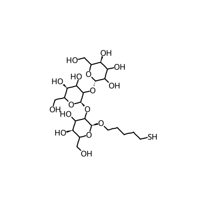 OCC1O[C@@H](OC2C(O)[C@H](O)C(CO)O[C@@H]2OC2C(O)[C@H](O)C(CO)O[C@@H]2OCCCCCS)C(O)C(O)[C@@H]1O